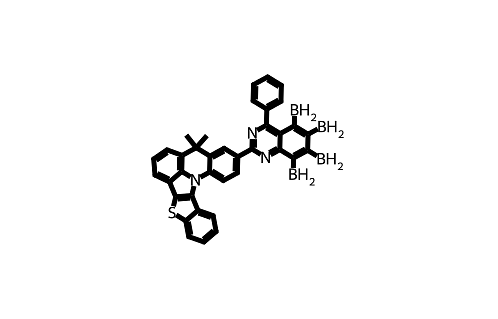 Bc1c(B)c(B)c2c(-c3ccccc3)nc(-c3ccc4c(c3)C(C)(C)c3cccc5c6sc7ccccc7c6n-4c35)nc2c1B